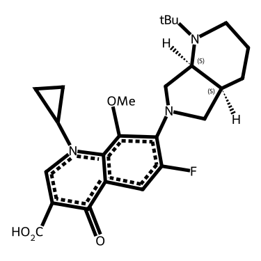 COc1c(N2C[C@@H]3CCCN(C(C)(C)C)[C@@H]3C2)c(F)cc2c(=O)c(C(=O)O)cn(C3CC3)c12